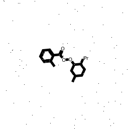 Cc1ccccc1C(=O)OO[C]1CC(C)CCC1C(C)C